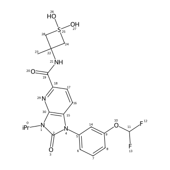 CC(C)n1c(=O)n(-c2cccc(OC(F)F)c2)c2ccc(C(=O)NC3(C)CS(O)(O)C3)nc21